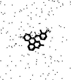 Cc1nc(N[C@H](C)c2cccc(C(F)(F)F)c2C)c2c(N3C[C@@H](C)O[C@@H](C)C3)cccc2n1